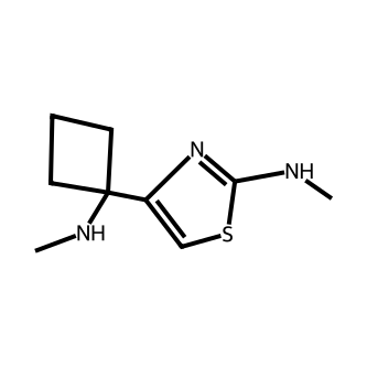 CNc1nc(C2(NC)CCC2)cs1